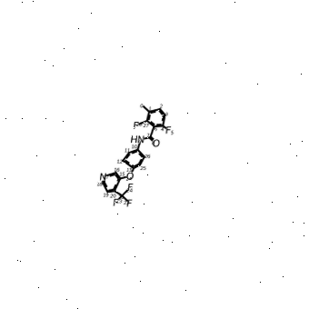 Cc1ccc(F)c(C(=O)Nc2ccc(Oc3cnccc3C(F)(F)F)cc2)c1F